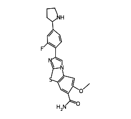 COc1cc2c(cc1C(N)=O)sc1nc(-c3ccc(C4CCCN4)cc3F)cn12